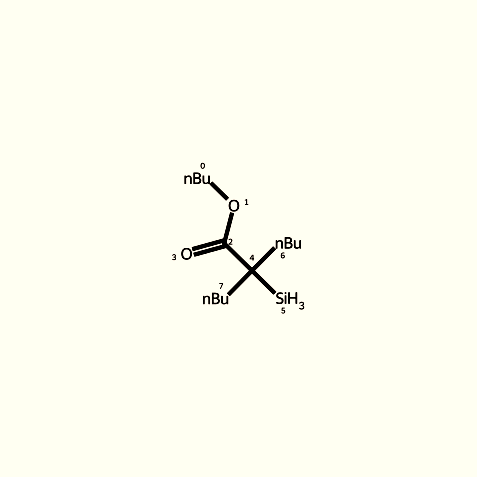 CCCCOC(=O)C([SiH3])(CCCC)CCCC